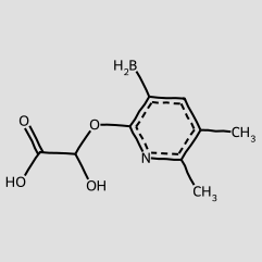 Bc1cc(C)c(C)nc1OC(O)C(=O)O